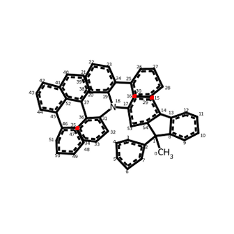 CC1(c2ccccc2)c2ccccc2-c2ccc(N(c3ccccc3-c3ccccc3)c3ccccc3-c3cccc4cccc(-c5ccccc5)c34)cc21